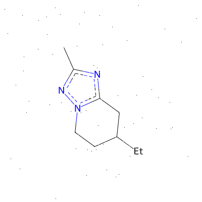 CCC1CCn2nc(C)nc2C1